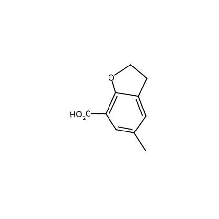 Cc1cc2c(c(C(=O)O)c1)OCC2